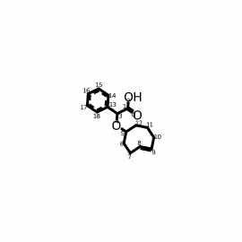 O=C(O)C(OC1CC/C=C/CCC1)c1ccccc1